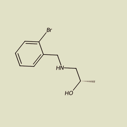 C[C@H](O)CNCc1ccccc1Br